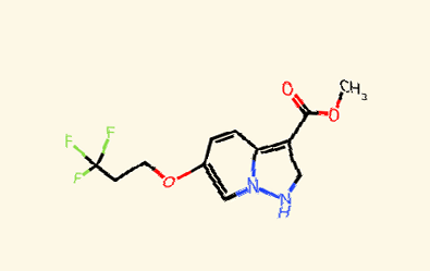 COC(=O)C1=C2C=CC(OCCC(F)(F)F)=CN2NC1